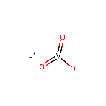 [Li+].[O]=[V](=[O])[O-]